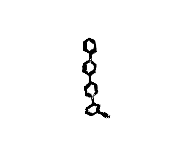 N#Cc1cccc(-[n+]2ccc(C3=CCN(c4ccccc4)C=C3)cc2)c1